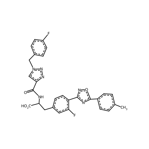 Cc1ccc(-c2nc(-c3ccc(CC(NC(=O)c4cn(Cc5ccc(F)cc5)nn4)C(=O)O)cc3F)no2)cc1